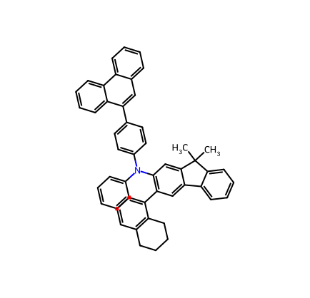 CC1(C)c2ccccc2-c2cc(-c3cccc4c3CCCC4)c(N(c3ccccc3)c3ccc(-c4cc5ccccc5c5ccccc45)cc3)cc21